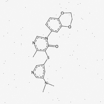 Cc1ncn(-c2ccc3c(c2)OCCO3)c(=O)c1Sc1cncc(N(C)C)c1